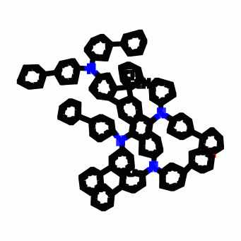 CC1(C)c2cc(N(c3ccc(-c4ccccc4)cc3)c3cccc(-c4ccccc4)c3)ccc2-c2cc3c(N(c4ccc(-c5ccccc5)cc4)c4cccc(-c5ccccc5)c4)c4cc(N(c5ccc(-c6ccccc6)cc5)c5cccc(-c6ccccc6)c5)ccc4c(N(c4ccc(-c5ccccc5)cc4)c4cccc(-c5ccccc5)c4)c3cc21